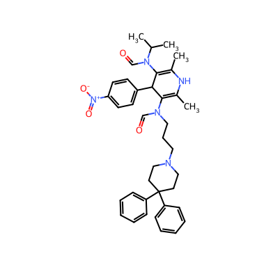 CC1=C(N(C=O)CCCN2CCC(c3ccccc3)(c3ccccc3)CC2)C(c2ccc([N+](=O)[O-])cc2)C(N(C=O)C(C)C)=C(C)N1